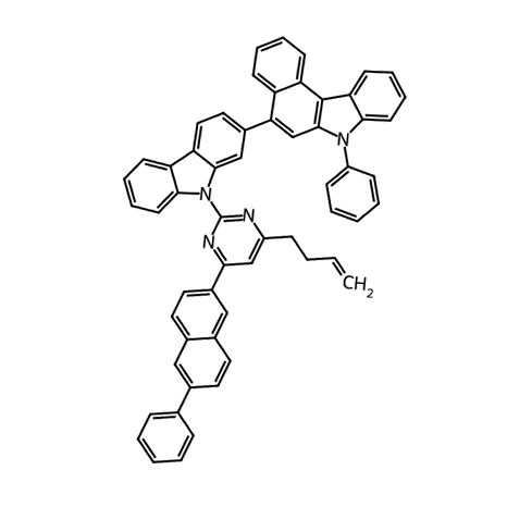 C=CCCc1cc(-c2ccc3cc(-c4ccccc4)ccc3c2)nc(-n2c3ccccc3c3ccc(-c4cc5c(c6ccccc46)c4ccccc4n5-c4ccccc4)cc32)n1